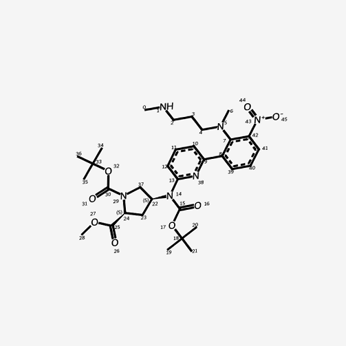 CNCCCN(C)c1c(-c2cccc(N(C(=O)OC(C)(C)C)[C@H]3C[C@@H](C(=O)OC)N(C(=O)OC(C)(C)C)C3)n2)cccc1[N+](=O)[O-]